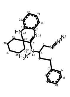 [N-]=[N+]=NCC(CCc1ccccc1)N(N)C1=Nc2ccccc2NC12CCCCC2